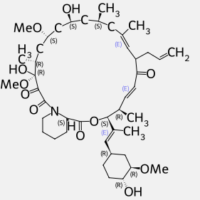 C=CCC1/C=C(\C)C[C@H](C)C[C@H](O)C[C@@H](OC)C[C@@H](C)[C@@](O)(OC)C(=O)C(=O)N2CCCC[C@H]2C(=O)O[C@H](/C(C)=C/[C@@H]2CC[C@@H](O)[C@H](OC)C2)[C@H](C)/C=C/C1=O